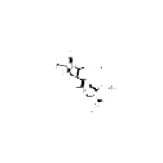 CSc1c2sc(C3=C(C(=O)[O-])N4C(=O)[C@H]([C@@H](C)O)[C@H]4[C@@H]3C)c(C)[n+]2cn1C(N)=O